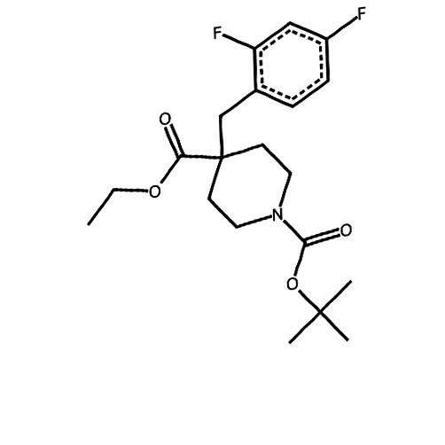 CCOC(=O)C1(Cc2ccc(F)cc2F)CCN(C(=O)OC(C)(C)C)CC1